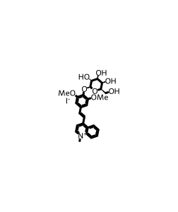 COc1cc(C=Cc2cc[n+](C)c3ccccc23)cc(OC)c1O[C@@H]1O[C@H](CO)[C@H](O)[C@H](O)[C@H]1O.[I-]